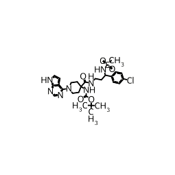 CC(C)(C)OC(=O)NC1(C(=O)NCCC(NS(C)(=O)=O)c2ccc(Cl)cc2)CCN(c2ncnc3[nH]ccc23)CC1